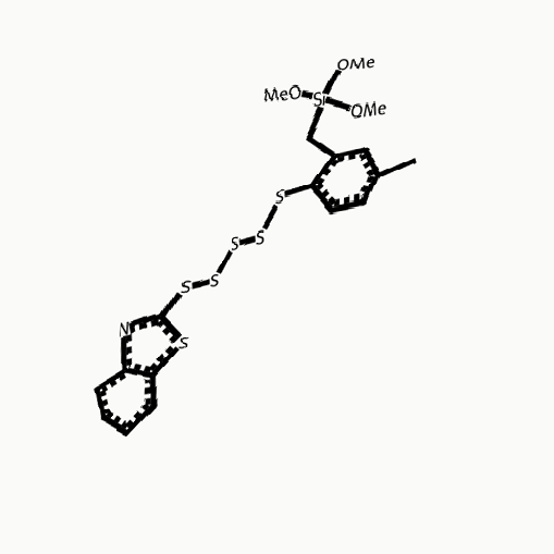 CO[Si](Cc1cc(C)ccc1SSSSSc1nc2ccccc2s1)(OC)OC